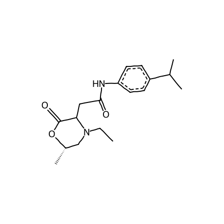 CCN1C[C@H](C)OC(=O)C1CC(=O)Nc1ccc(C(C)C)cc1